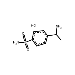 CC(N)c1ccc(S(N)(=O)=O)cc1.Cl